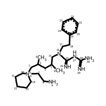 CC(CC(C)C[N+]1(CCN)CCCCC1)CN(CCc1ccccc1)C(=N)NC(=N)N